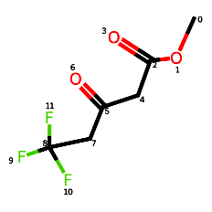 COC(=O)CC(=O)CC(F)(F)F